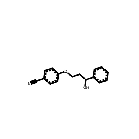 N#Cc1ccc(OCCC(O)c2ccccc2)cc1